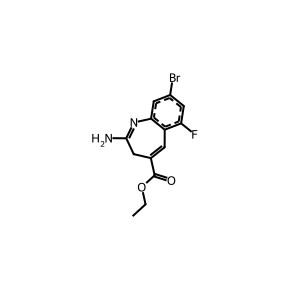 CCOC(=O)C1=Cc2c(F)cc(Br)cc2N=C(N)C1